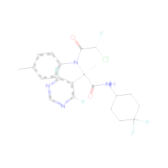 Cc1ccc(N(C(=O)[C@H](F)Cl)[C@@](C)(C(=O)NC2CCC(F)(F)CC2)c2c(F)ncnc2F)cc1